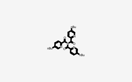 CCCCc1ccc(C(=O)N(C(=O)c2ccc(CCCC)cn2)C(=O)c2ccc(CCCC)cn2)nc1